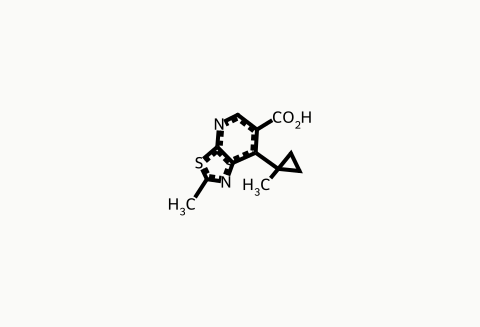 Cc1nc2c(C3(C)CC3)c(C(=O)O)cnc2s1